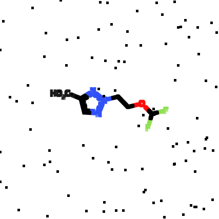 O=C(O)c1cnn(CCOC(F)F)n1